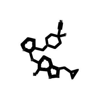 N#CC1(F)CCN(Cc2cccnc2Oc2ccc3c(nnn3CC3CC3)c2Br)CC1